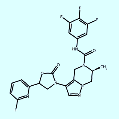 C[C@H]1Cn2ncc(N3CC(c4cccc(F)n4)OC3=O)c2CN1C(=O)Nc1cc(F)c(F)c(F)c1